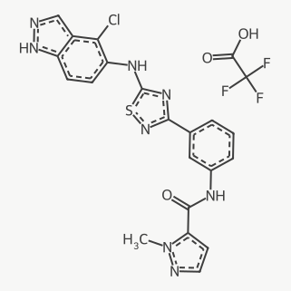 Cn1nccc1C(=O)Nc1cccc(-c2nsc(Nc3ccc4[nH]ncc4c3Cl)n2)c1.O=C(O)C(F)(F)F